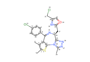 Cc1sc2c(c1C)C(c1ccc(Cl)cc1)=N[C@@H](Cc1nc(CCl)co1)c1nnc(C)n1-2